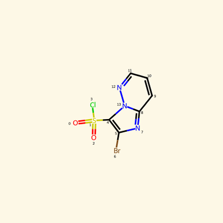 O=S(=O)(Cl)c1c(Br)nc2cccnn12